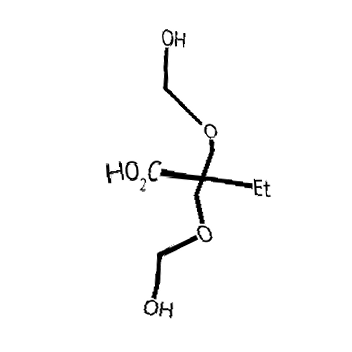 CCC(OCO)(OCO)C(=O)O